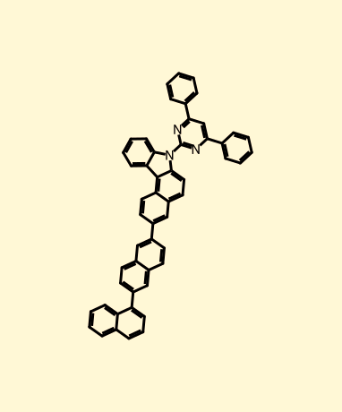 c1ccc(-c2cc(-c3ccccc3)nc(-n3c4ccccc4c4c5ccc(-c6ccc7cc(-c8cccc9ccccc89)ccc7c6)cc5ccc43)n2)cc1